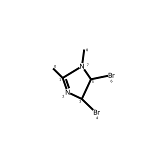 CC1=NC(Br)C(Br)N1C